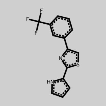 FC(F)(F)c1cccc(-c2csc(-c3ccc[nH]3)n2)c1